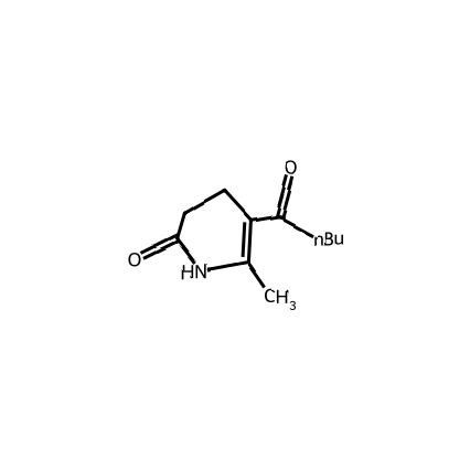 CCCCC(=O)C1=C(C)NC(=O)CC1